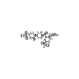 CCS(=O)(=O)c1ccc(N2CCN(C(=O)c3cc(S(C)(=O)=O)ccc3OC(C)(C)C)CC2)c(F)c1